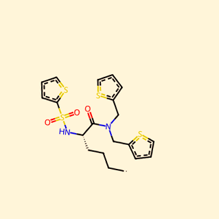 [CH2]CCC[C@H](NS(=O)(=O)c1cccs1)C(=O)N(Cc1cccs1)Cc1cccs1